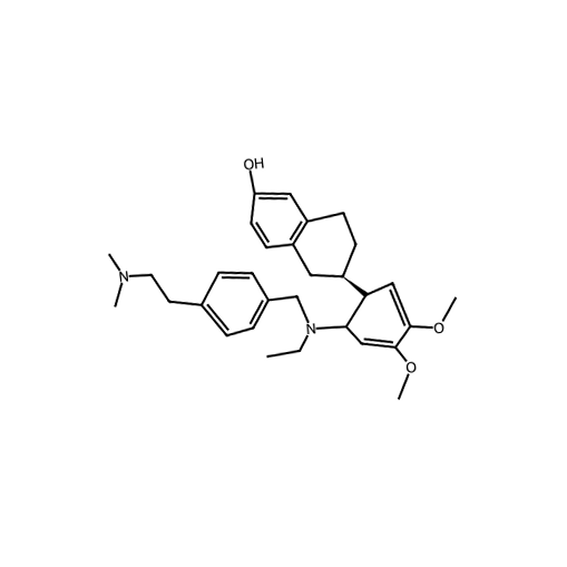 CCN(Cc1ccc(CCN(C)C)cc1)C1C=C(OC)C(OC)=CC1[C@@H]1CCc2cc(O)ccc2C1